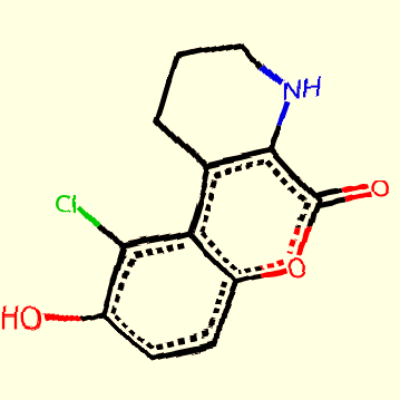 O=c1oc2ccc(O)c(Cl)c2c2c1NCCC2